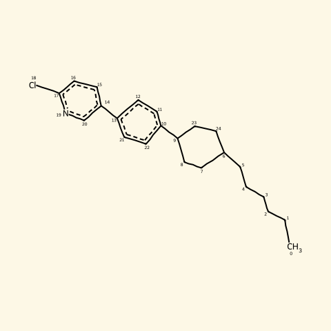 CCCCCCC1CCC(c2ccc(-c3ccc(Cl)nc3)cc2)CC1